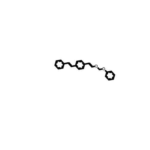 C(=Cc1ccc(C=Cc2ccccc2)cc1)OCOc1ccccc1